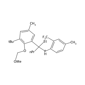 CCCC(CC)(Pc1ccc(C)cc1C(F)(F)F)c1cc(C)cc(C(C)(C)C)c1OCOC